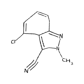 Cn1nc2cccc(Cl)c2c1C#N